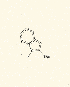 Cc1c(C(C)(C)C)cc2ccccn12